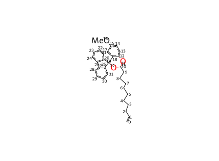 C=CCCCCCCCCC1Oc2ccc(OC)cc2C(c2ccccc2)(c2ccccc2)O1